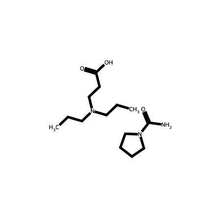 CCCN(CCC)CCC(=O)O.NC(=O)N1CCCC1